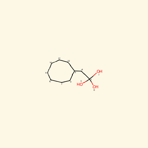 OC(O)(O)CC1CCCCCCC1